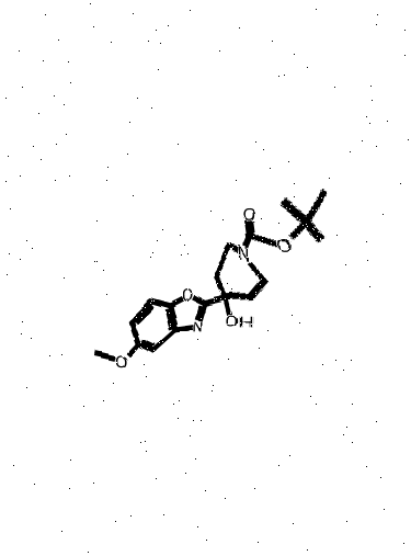 COc1ccc2oc(C3(O)CCN(C(=O)OC(C)(C)C)CC3)nc2c1